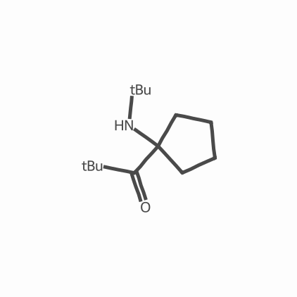 CC(C)(C)NC1(C(=O)C(C)(C)C)CCCC1